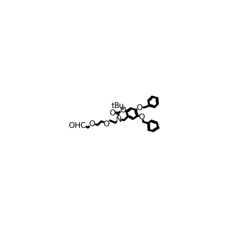 CC(C)(C)OC(=O)N(CCOCCOCC=O)Cc1ccc(OCc2ccccc2)c(OCc2ccccc2)c1